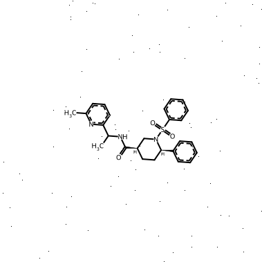 Cc1cccc(C(C)NC(=O)[C@@H]2CC[C@H](c3ccccc3)N(S(=O)(=O)c3ccccc3)C2)n1